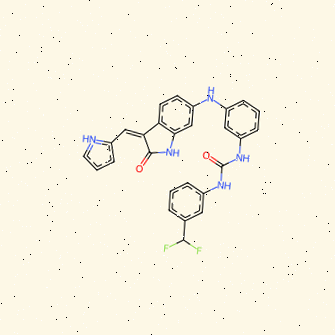 O=C(Nc1cccc(Nc2ccc3c(c2)NC(=O)/C3=C\c2ccc[nH]2)c1)Nc1cccc(C(F)F)c1